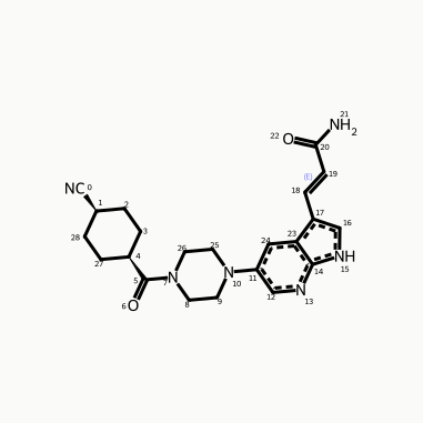 N#C[C@H]1CC[C@@H](C(=O)N2CCN(c3cnc4[nH]cc(/C=C/C(N)=O)c4c3)CC2)CC1